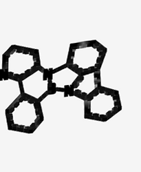 c1ccc2c(c1)B1N(c3cccnc3-2)c2cccc3c4ccccc4n1c23